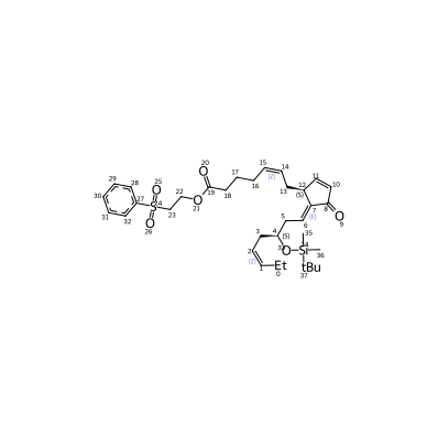 CC/C=C\C[C@@H](C/C=C1/C(=O)C=C[C@@H]1C/C=C\CCCC(=O)OCCS(=O)(=O)c1ccccc1)O[Si](C)(C)C(C)(C)C